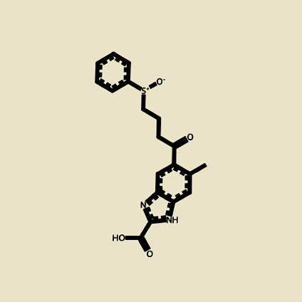 Cc1cc2[nH]c(C(=O)O)nc2cc1C(=O)CCC[S+]([O-])c1ccccc1